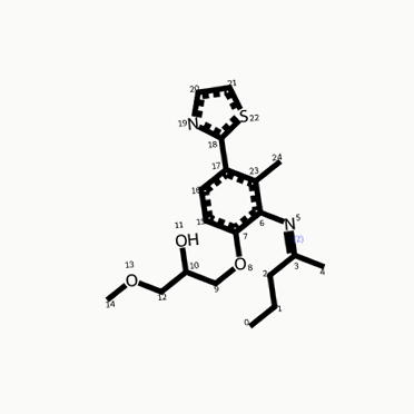 CCC/C(C)=N\c1c(OCC(O)COC)ccc(-c2nccs2)c1C